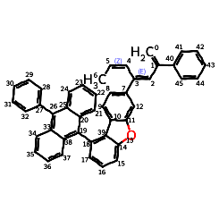 C=C(/C=C(\C=C/C)c1ccc2c(c1)oc1cccc(-c3c4ccccc4c(-c4ccccc4)c4ccccc34)c12)c1ccccc1